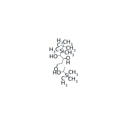 CC(C)(C)[Si](C)(C)C(O)[C@@H](O)[C@@H](C=O)CC(O)[Si](C)(C)C